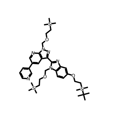 CC(C)(C)[Si](C)(C)CCOc1ccc2c(c1)nc(-c1nn(COCC[Si](C)(C)C)c3ncc(-c4cccnc4)cc13)n2COCC[Si](C)(C)C